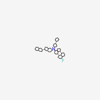 Fc1ccc(-c2ccc(N(c3ccc(-c4ccccc4)cc3)c3ccc4cc(-c5ccc6ccccc6c5)ccc4c3)cc2)c2c(-c3ccccc3)cccc12